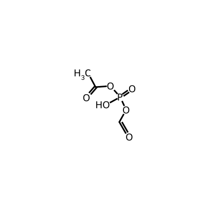 CC(=O)OP(=O)(O)OC=O